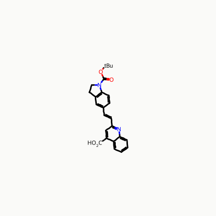 CC(C)(C)OC(=O)N1CCc2cc(/C=C/c3cc(C(=O)O)c4ccccc4n3)ccc21